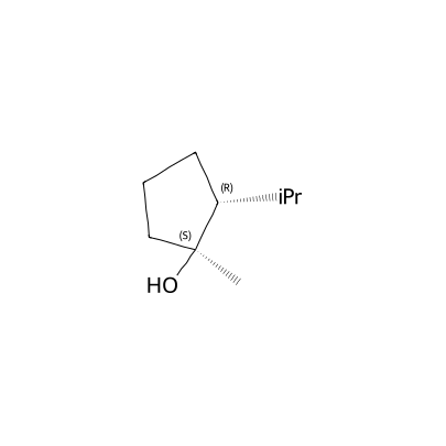 CC(C)[C@H]1CCC[C@]1(C)O